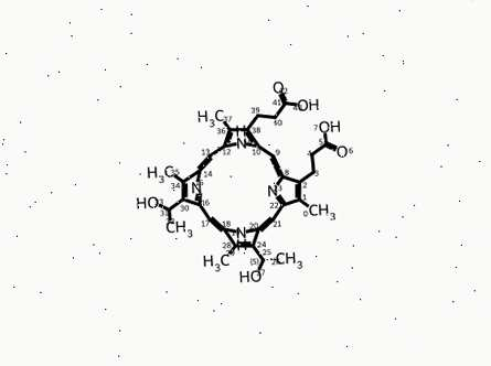 CC1=C(CCC(=O)O)c2cc3[nH]c(cc4nc(cc5[nH]c(cc1n2)c([C@H](C)O)c5C)C(C(C)O)=C4C)c(C)c3CCC(=O)O